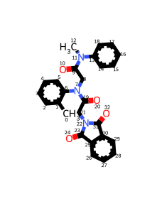 Cc1ccccc1N(CC(=O)N(C)c1ccccc1)C(=O)CN1C(=O)c2ccccc2C1=O